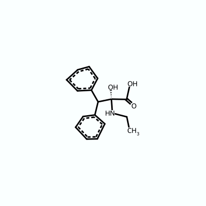 CCN[C@](O)(C(=O)O)C(c1ccccc1)c1ccccc1